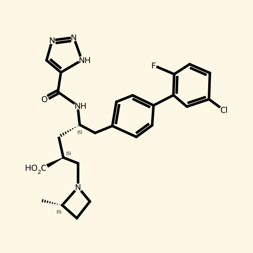 C[C@H]1CCN1C[C@H](C[C@@H](Cc1ccc(-c2cc(Cl)ccc2F)cc1)NC(=O)c1cnn[nH]1)C(=O)O